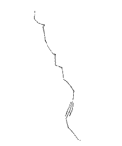 [CH2]CC#CCCCCCCCCC